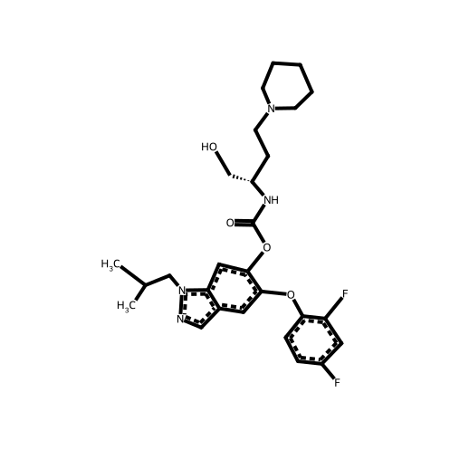 CC(C)Cn1ncc2cc(Oc3ccc(F)cc3F)c(OC(=O)N[C@H](CO)CCN3CCCCC3)cc21